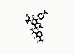 Cc1nc(N[C@H](C)c2cccc(C(F)F)c2F)c2cn(C3(CF)CC3)c(=O)c(N3CCN(C(C)C)CC3)c2n1